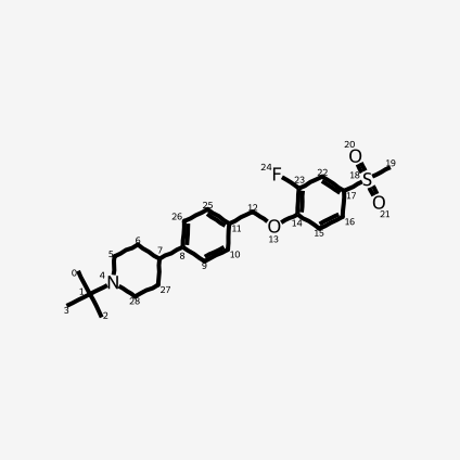 CC(C)(C)N1CCC(c2ccc(COc3ccc(S(C)(=O)=O)cc3F)cc2)CC1